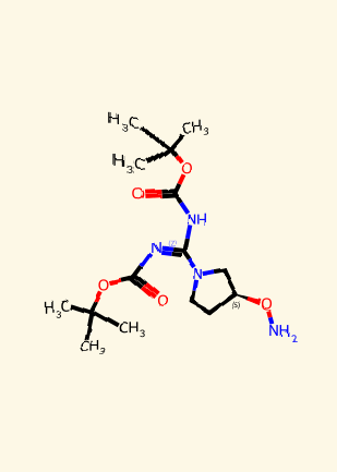 CC(C)(C)OC(=O)/N=C(/NC(=O)OC(C)(C)C)N1CC[C@H](ON)C1